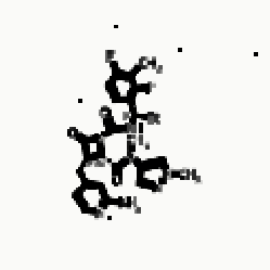 CC[C@@H](NC(=O)N1C(=O)[C@H](Cc2ccnc(N)c2)[C@H]1C(=O)N(C)c1cnn(C)c1)c1ccc(F)c(C)c1F